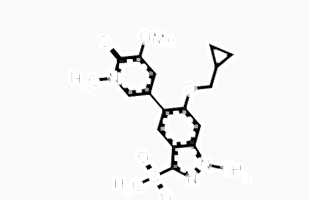 COc1cc(-c2cc3c(S(C)(=O)=O)nn(C)c3cc2OCC2CC2)cn(C)c1=O